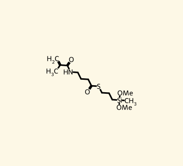 C=C(C)C(=O)NCCCC(=O)SCCC[Si](C)(OC)OC